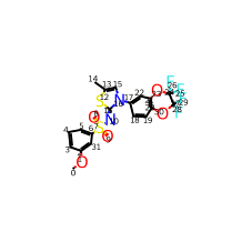 COc1cccc(S(=O)(=O)N=c2sc(C)cn2-c2ccc3c(c2)OC(F)(F)C(F)(F)O3)c1